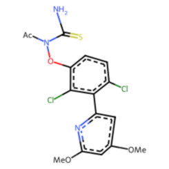 COc1cc(OC)nc(-c2c(Cl)ccc(ON(C(C)=O)C(N)=S)c2Cl)c1